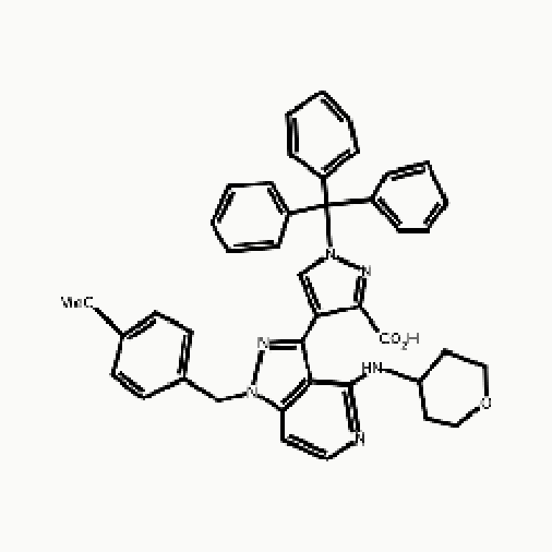 COc1ccc(Cn2nc(-c3cn(C(c4ccccc4)(c4ccccc4)c4ccccc4)nc3C(=O)O)c3c(NC4CCOCC4)nccc32)cc1